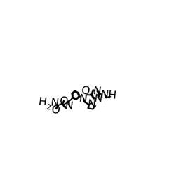 CCNc1ncc2c(n1)N1CCCC1CN(c1cccc(-c3ncc(C(N)=O)o3)c1)C2=O